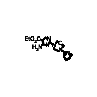 CCOC(=O)c1cnc(N2CCCN(c3ccccn3)CC2)nc1N